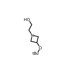 CC(C)(C)OC1CN(CCO)C1